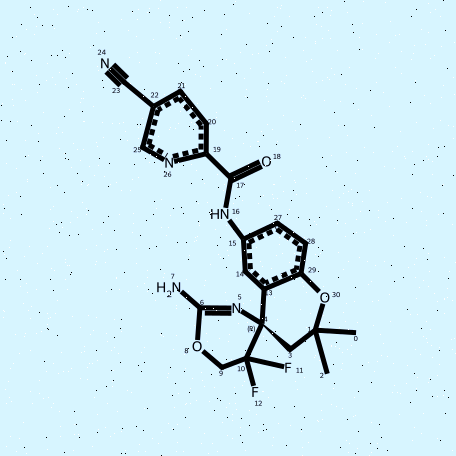 CC1(C)C[C@@]2(N=C(N)OCC2(F)F)c2cc(NC(=O)c3ccc(C#N)cn3)ccc2O1